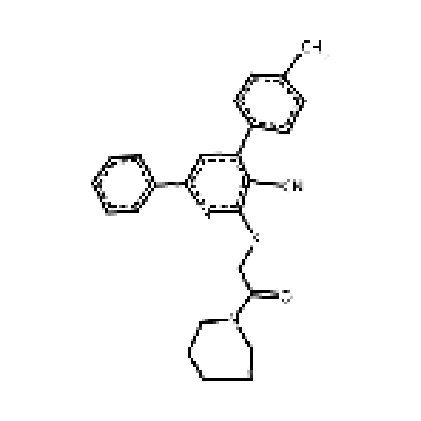 Cc1ccc(-c2cc(-c3ccccc3)nc(SCC(=O)N3CCCCC3)c2C#N)cc1